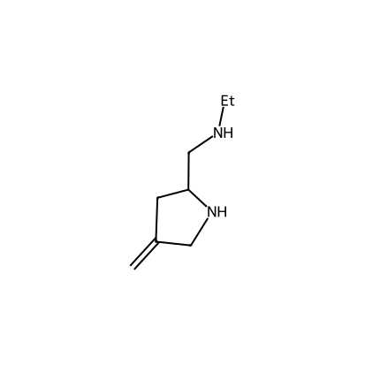 C=C1CNC(CNCC)C1